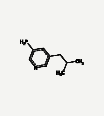 CC(C)Cc1cncc(P)c1